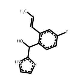 C/C=C/c1cc(F)ccc1C(O)c1ncc[nH]1